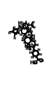 C=C(C)[C@@H]1CC[C@]2(Nc3nc(C)c(C)s3)CC[C@]3(C)[C@H](CC[C@@H]4[C@@]5(C)CC=C(c6ccc(C(=O)O)cc6)C(C)(C)[C@@H]5CC[C@]43C)[C@@H]12